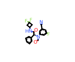 N#Cc1cc(F)cc(N(C=O)[C@H](C(=O)NC2CC(F)(F)C2)c2ccccc2)c1